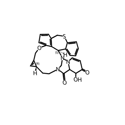 O=C1C=CN2C(C(=O)N3CC[C@@H]4C=C4COc4cccc5c4[C@@H](c4ccccc4SC5)N2C3)C1O